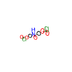 O=C(Cl)COc1ccc(NC(=O)c2ccc(OCC(=O)Cl)cc2)cc1